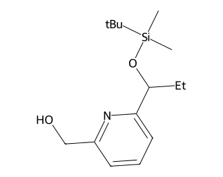 CCC(O[Si](C)(C)C(C)(C)C)c1cccc(CO)n1